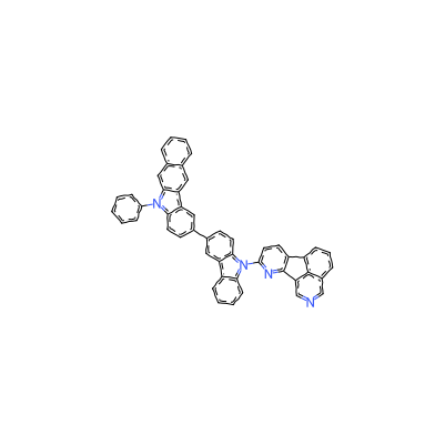 c1ccc(-n2c3ccc(-c4ccc5c(c4)c4ccccc4n5-c4ccc5c(n4)-c4cncc6cccc-5c46)cc3c3cc4ccccc4cc32)cc1